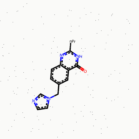 CCCc1nc2ccc(Cn3ccnc3)cc2c(=O)[nH]1